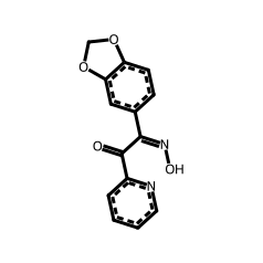 O=C(C(=NO)c1ccc2c(c1)OCO2)c1ccccn1